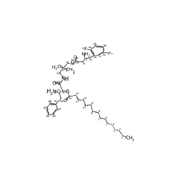 CCCCCCCCCCCCCCCC(=O)OC(C(=O)NCC(C)(C)CNC(=O)CC(N)Cc1cc(F)ccc1F)C(N)Cc1ccccc1